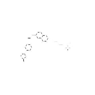 CCOP(=O)(OCC)OCCCCOc1ccc2cc(C(C)C(=O)Oc3ccc(-c4cc(=S)ss4)cc3)ccc2c1